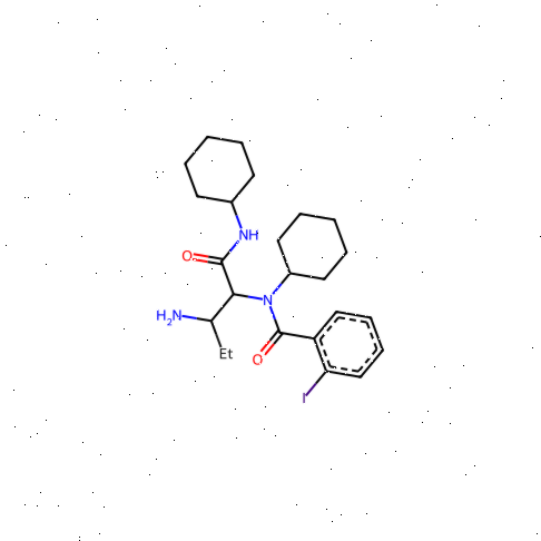 CCC(N)C(C(=O)NC1CCCCC1)N(C(=O)c1ccccc1I)C1CCCCC1